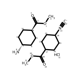 COC(=O)[C@H]1CC[C@H](N)CC1.Cl.[C-]#[N+]C1CCC(C(=O)OC)CC1